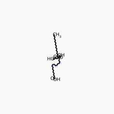 CCCCCCCCCCCCCCCCC(CC/C=C\C/C=C\C/C=C\CCCCCCCC(=O)O)(CC(O)CO)C(=O)O